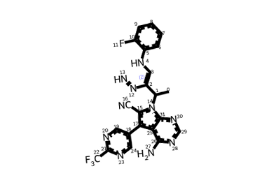 CC(/C(=C/Nc1ccccc1F)N=N)n1c(C#N)c(-c2cnc(C(F)(F)F)nc2)c2c(N)ncnc21